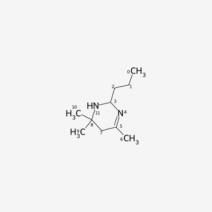 CCCC1N=C(C)CC(C)(C)N1